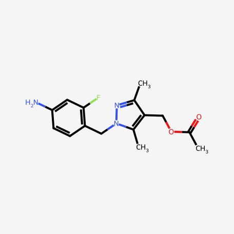 CC(=O)OCc1c(C)nn(Cc2ccc(N)cc2F)c1C